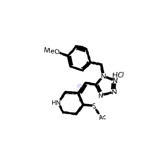 COc1ccc(Cn2nnnc2/C=C2/CNCCC2SC(C)=O)cc1.Cl